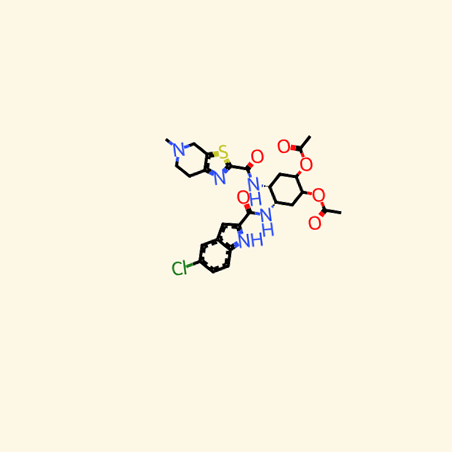 CC(=O)OC1C[C@H](NC(=O)c2cc3cc(Cl)ccc3[nH]2)[C@H](NC(=O)c2nc3c(s2)CN(C)CC3)CC1OC(C)=O